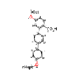 CCCCCCCCOc1ccc(C(=O)O)c(-c2ccc(-c3ccc(OCCCCCCC)cc3)cc2)c1